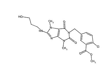 COC(=O)c1cc(Cn2c(=O)c3c(nc(NCCCO)n3C)n(C)c2=O)ccc1Cl